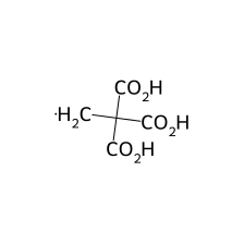 [CH2]C(C(=O)O)(C(=O)O)C(=O)O